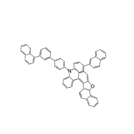 c1cc(-c2ccc(N(c3ccc(-c4ccc5ccccc5c4)cc3)c3ccccc3-c3cccc4oc5c6ccccc6ccc5c34)cc2)cc(-c2cccc3ccccc23)c1